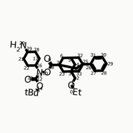 CCOCC12CC3CC(C(=O)ON(C(=O)OC(C)(C)C)C4CCC(N)CC4)(C1)CC(c1ccccc1)(C3)C2